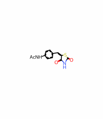 CC(=O)Nc1ccc(C=C2SC(=O)NC2=O)cc1